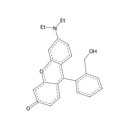 CCN(CC)c1ccc2c(-c3ccccc3CO)c3ccc(=O)cc-3oc2c1